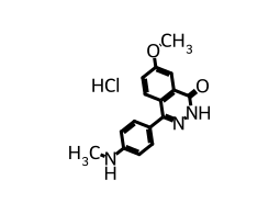 CNc1ccc(-c2n[nH]c(=O)c3cc(OC)ccc23)cc1.Cl